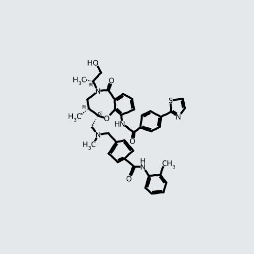 Cc1ccccc1NC(=O)c1ccc(CN(C)C[C@H]2Oc3c(NC(=O)c4ccc(-c5nccs5)cc4)cccc3C(=O)N([C@H](C)CO)C[C@H]2C)cc1